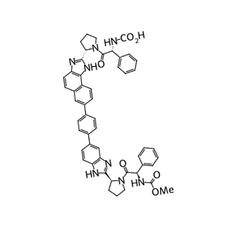 COC(=O)N[C@@H](C(=O)N1CCC[C@H]1c1nc2cc(-c3ccc(-c4ccc5c(ccc6nc([C@@H]7CCCN7C(=O)[C@H](NC(=O)O)c7ccccc7)[nH]c65)c4)cc3)ccc2[nH]1)c1ccccc1